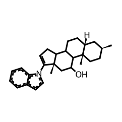 C[C@H]1CC[C@]2(C)C3C(O)C[C@]4(C)C(n5ccc6ccccc65)=CCC4C3CC[C@@H]2C1